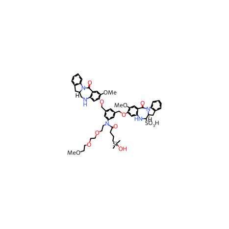 COCCOCCOCCN(C(=O)CCC[Si](C)(C)O)c1cc(COc2cc3c(cc2OC)C(=O)N2c4ccccc4C[C@H]2CN3)cc(COc2cc3c(cc2OC)C(=O)N2c4ccccc4C[C@H]2C(S(=O)(=O)O)N3)c1